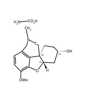 COc1ccc2c3c1O[C@H]1C[C@@H](O)CC[C@@]31CCN(C)C2.NC(=O)O